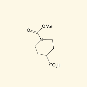 [CH2]OC(=O)N1CCC(C(=O)O)CC1